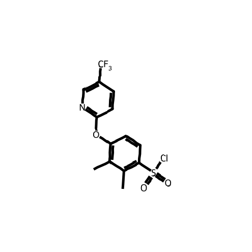 Cc1c(Oc2ccc(C(F)(F)F)cn2)ccc(S(=O)(=O)Cl)c1C